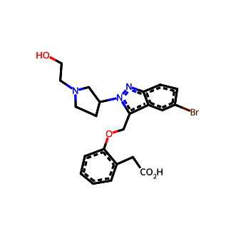 O=C(O)Cc1ccccc1OCc1c2cc(Br)ccc2nn1C1CCN(CCO)C1